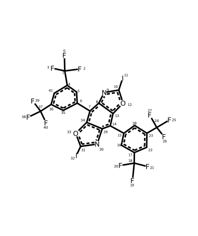 FC(F)(F)c1cc(-c2c3nc(I)oc3c(-c3cc(C(F)(F)F)cc(C(F)(F)F)c3)c3nc(I)oc23)cc(C(F)(F)F)c1